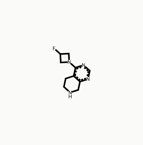 FC1CN(c2ncnc3c2CCNC3)C1